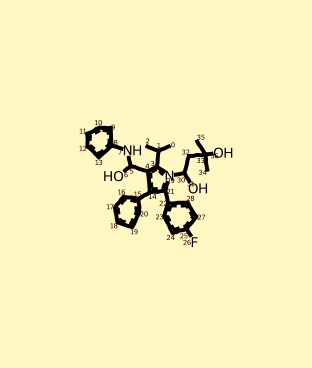 CC(C)c1c(C(O)Nc2ccccc2)c(-c2ccccc2)c(-c2ccc(F)cc2)n1C(O)CC(C)(C)O